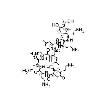 CC(C)C[C@H](NC(=O)[C@@H](CC(C)C)NC(=O)[C@H](CN)NC(=O)[C@H](CCN)NC(=O)[C@H](CCN)NC(=O)[C@@H](NC(=O)[C@@H](N)CCN)[C@@H](C)O)C(=O)N[C@@H](CCN)C(=O)N[C@@H](CCN)C(=O)N[C@H](C(=O)O)[C@@H](C)O